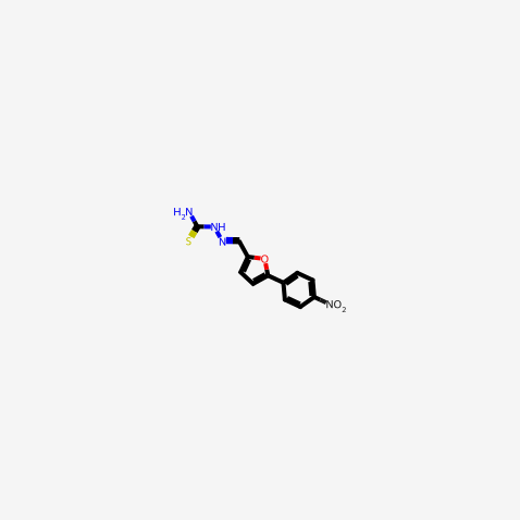 NC(=S)N/N=C/c1ccc(-c2ccc([N+](=O)[O-])cc2)o1